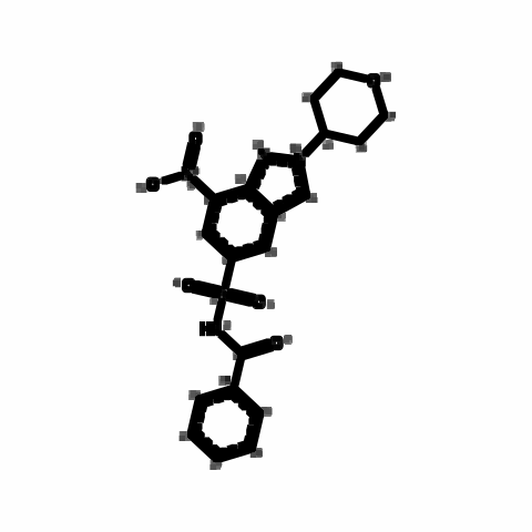 O=C(NS(=O)(=O)c1cc([N+](=O)[O-])c2nn(C3CCOCC3)cc2c1)c1ccccc1